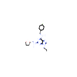 CCCn1cnc2c(NCc3ccc(F)cc3)nc(NC[C@H]3CCCO3)nc21